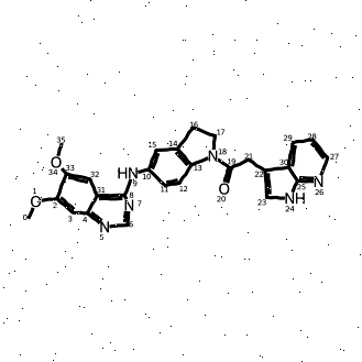 COc1cc2ncnc(Nc3ccc4c(c3)CCN4C(=O)Cc3c[nH]c4ncccc34)c2cc1OC